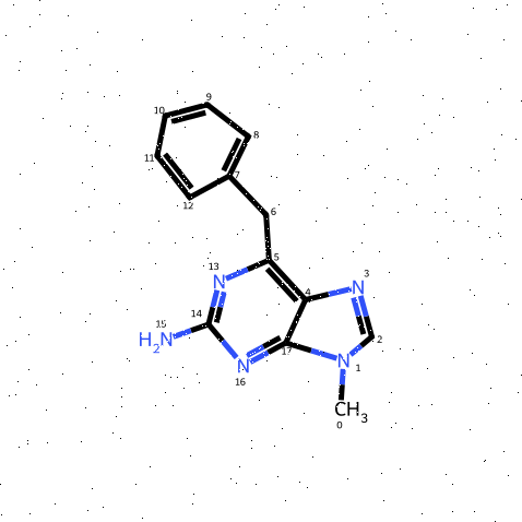 Cn1cnc2c(Cc3ccccc3)nc(N)nc21